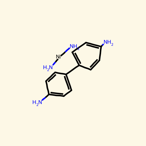 Nc1ccc(-c2ccc(N)cc2)cc1.[NH2][Ni][NH2]